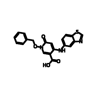 O=C(O)c1cn(OCc2ccccc2)c(=O)cc1Nc1ccc2scnc2c1